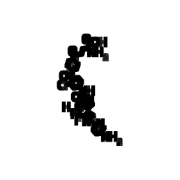 Cn1c(-c2cn(-c3ccc(N)cn3)nc2C(F)(F)F)cnc1C(=O)Nc1ccc(C(=O)N2CCN(C(=O)CCC(N)C(=O)O)CC2)c(Cl)c1